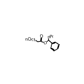 CCCCCCCCCC(=O)OC(CCC)c1ccccc1